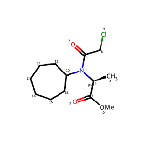 COC(=O)[C@H](C)N(C(=O)CCl)C1CCCCCC1